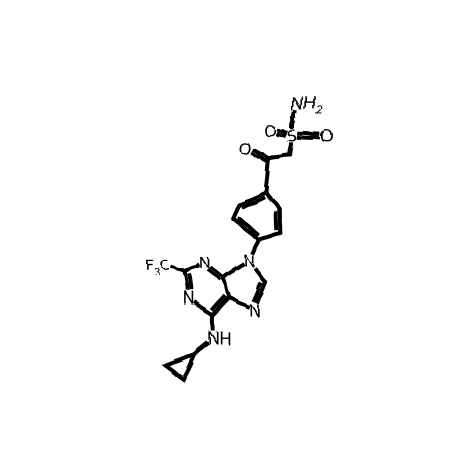 NS(=O)(=O)CC(=O)c1ccc(-n2cnc3c(NC4CC4)nc(C(F)(F)F)nc32)cc1